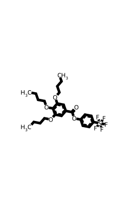 CCCCOc1cc(C(=O)Oc2ccc(S(F)(F)(F)(F)F)cc2)cc(OCCCC)c1OCCCC